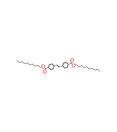 CCCCCCCCCCOC(=O)c1ccc(C=Cc2ccc(C(=O)OCCCCCCCCCC)cc2)cc1